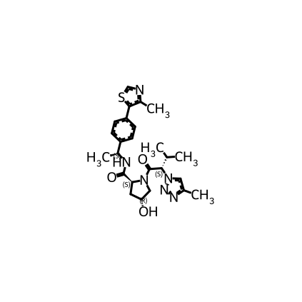 Cc1cn([C@H](C(=O)N2C[C@H](O)C[C@H]2C(=O)N[C@@H](C)c2ccc(-c3scnc3C)cc2)C(C)C)nn1